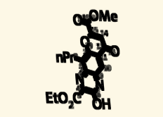 CCCc1c2nc(C(=O)OCC)c(O)nc2cc2c(=O)cc(C(=O)OC)oc12